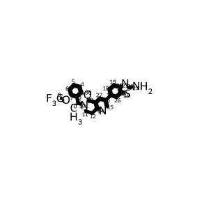 C[C@H](c1ccccc1OC(F)(F)F)N1CCc2ncc(-c3ccc4nc(N)sc4c3)cc2C1=O